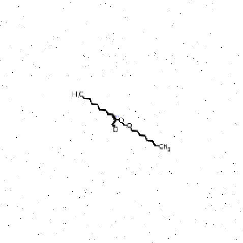 CCCCCCCC/C=C(\C=O)OCOCCCCCCCC